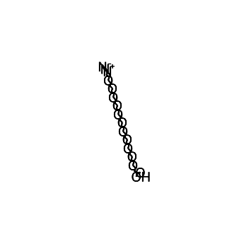 [N-]=[N+]=NCCOCCOCCOCCOCCOCCOCCOCCOCCOCCOCCOCCC(=O)O